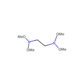 CON(CCN(OC)OC)OC